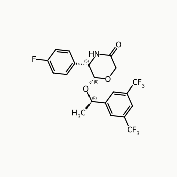 C[C@@H](O[C@H]1OCC(=O)N[C@H]1c1ccc(F)cc1)c1cc(C(F)(F)F)cc(C(F)(F)F)c1